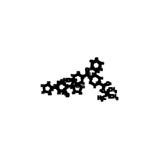 CC(C)(C)OC(=O)N1CCN(C(=O)N2CC[C@@](O)(Cn3cnc(N4CCCC4)cc3=O)C3(CCCC3)C2)[C@H](c2ccccc2)C1